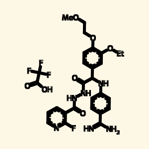 CCOc1cc(C(Nc2ccc(C(=N)N)cc2)C(=O)NNC(=O)c2cccnc2F)ccc1OCCOC.O=C(O)C(F)(F)F